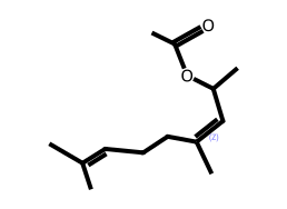 CC(=O)OC(C)/C=C(/C)CCC=C(C)C